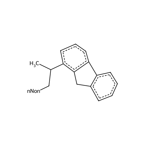 CCCCCCCCCCC(C)c1cccc2c1Cc1ccccc1-2